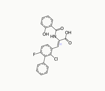 O=C(O)/C(=C/c1ccc(F)c(-c2ccccc2)c1Cl)NC(=O)c1ccccc1O